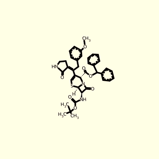 COc1cccc(CC(C2=CS[C@@H]3[C@H](NC(=O)OC(C)(C)C)C(=O)N3[C@H]2C(=O)OC(c2ccccc2)c2ccccc2)=C2CCNC2=O)c1